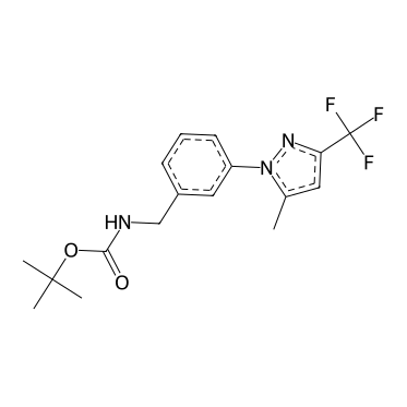 Cc1cc(C(F)(F)F)nn1-c1cccc(CNC(=O)OC(C)(C)C)c1